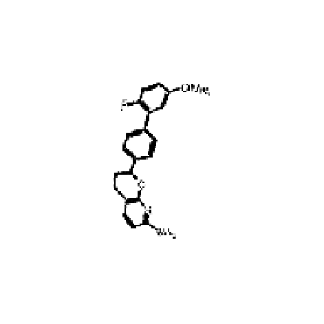 Bc1ccc2c(n1)OC(c1ccc(-c3cc(OC)ccc3F)cc1)CC2